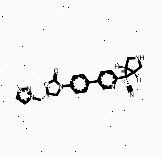 N#C[C@]1(c2ccc(-c3ccc(N4C[C@H](Cn5ccnn5)OC4=O)cc3)cn2)[C@@H]2CNC[C@@H]21